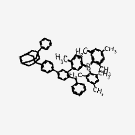 Cc1cc(C)c(B(c2ccc(C)c(-c3cc(-c4ccc(C56CC7CC(CC(c8ccccc8)(C7)C5)C6)cc4)ccc3Cc3ccccc3)c2)c2c(C)cc(C)cc2C)c(C)c1